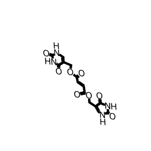 O=C(/C=C/C(=O)OCc1c[nH]c(=O)[nH]c1=O)OCc1c[nH]c(=O)[nH]c1=O